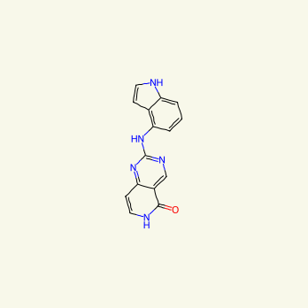 O=c1[nH]ccc2nc(Nc3cccc4[nH]ccc34)ncc12